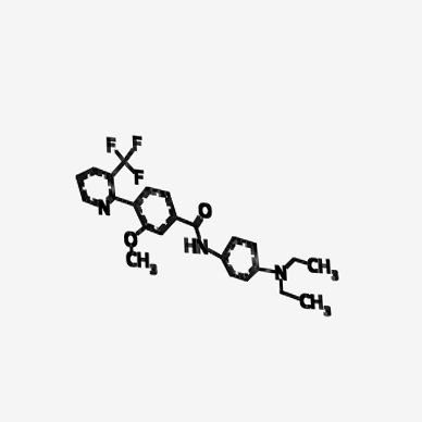 CCN(CC)c1ccc(NC(=O)c2ccc(-c3ncccc3C(F)(F)F)c(OC)c2)cc1